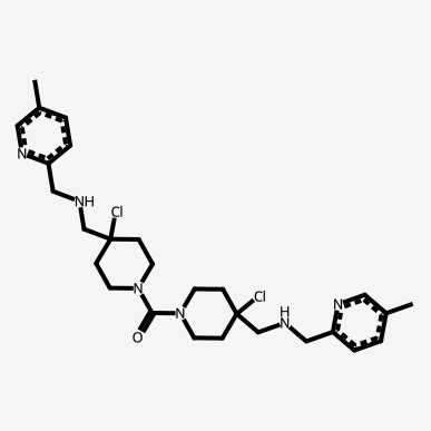 Cc1ccc(CNCC2(Cl)CCN(C(=O)N3CCC(Cl)(CNCc4ccc(C)cn4)CC3)CC2)nc1